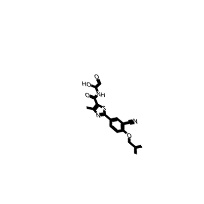 Cc1nc(-c2ccc(OCC(C)C)c(C#N)c2)sc1C(=O)NC(O)C=O